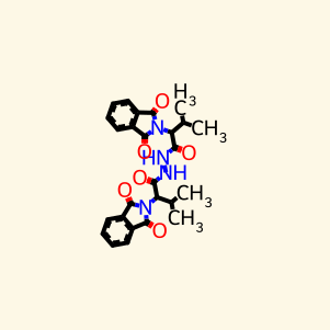 CC(C)C(C(=O)NNC(=O)C(C(C)C)N1C(=O)c2ccccc2C1=O)N1C(=O)c2ccccc2C1=O